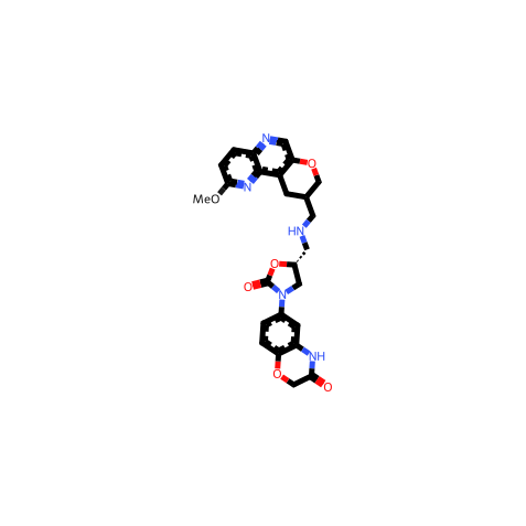 COc1ccc2ncc3c(c2n1)CC(CNC[C@@H]1CN(c2ccc4c(c2)NC(=O)CO4)C(=O)O1)CO3